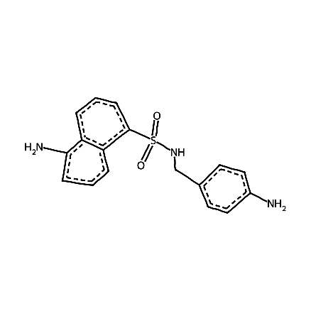 Nc1ccc(CNS(=O)(=O)c2cccc3c(N)cccc23)cc1